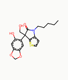 CCCCCN1C(=O)C(CO)(c2cc3c(cc2O)OCO3)c2sccc21